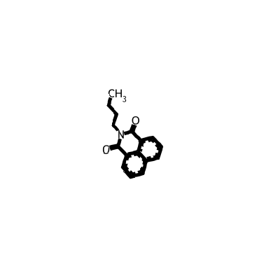 CCCCN1C(=O)c2cccc3cccc(c23)C1=O